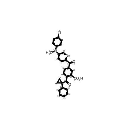 CN(c1ccc(Cl)cc1)c1ccc(C(=O)c2ccc(C(=O)C3(c4ccccc4)CC3)c(C(=O)O)c2)nc1